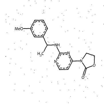 COc1cccc(C(C)Nc2nccc(N3CCOC3=O)n2)c1